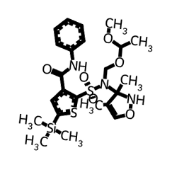 COC(C)OCN(C1(C)NOC=C1C)S(=O)(=O)c1sc([Si](C)(C)C)cc1C(=O)Nc1ccccc1